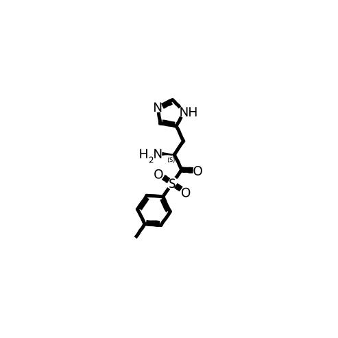 Cc1ccc(S(=O)(=O)C(=O)[C@@H](N)Cc2cnc[nH]2)cc1